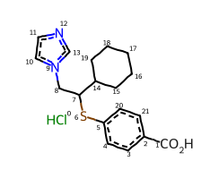 Cl.O=C(O)c1ccc(SC(Cn2ccnc2)C2CCCCC2)cc1